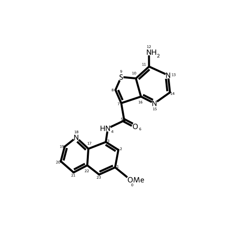 COc1cc(NC(=O)c2csc3c(N)ncnc23)c2ncccc2c1